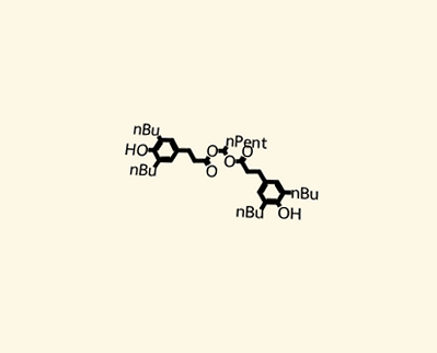 CCCCCC(OC(=O)CCc1cc(CCCC)c(O)c(CCCC)c1)OC(=O)CCc1cc(CCCC)c(O)c(CCCC)c1